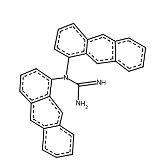 N=C(N)N(c1cccc2cc3ccccc3cc12)c1cccc2cc3ccccc3cc12